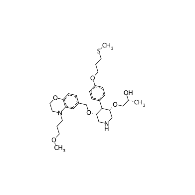 COCCCN1CCOc2ccc(CO[C@H]3CNC[C@@H](OC[C@@H](C)O)C3c3ccc(OCCCSC)cc3)cc21